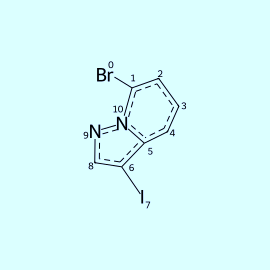 Brc1cccc2c(I)cnn12